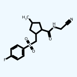 CC1CC(CS(=O)(=O)c2ccc(F)cc2)C(C(=O)NCC#N)C1